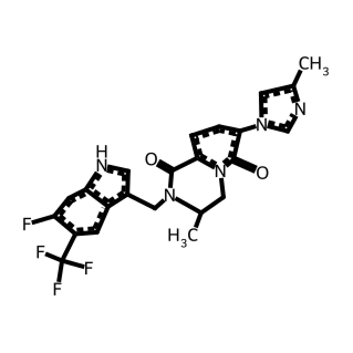 Cc1cn(-c2ccc3n(c2=O)CC(C)N(Cc2c[nH]c4cc(F)c(C(F)(F)F)cc24)C3=O)cn1